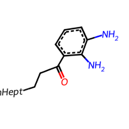 CCCCCCCCCC(=O)c1cccc(N)c1N